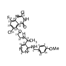 COc1ccc(CNc2ncncc2[C@@H](C)NCCOc2c(Cl)cc(F)c3nc(Cl)[nH]c(=O)c23)cc1